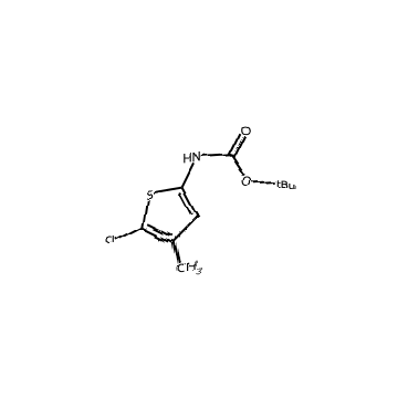 Cc1cc(NC(=O)OC(C)(C)C)sc1Cl